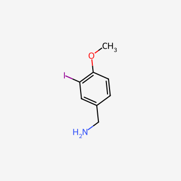 COc1ccc(CN)cc1I